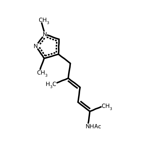 CC(=O)N/C(C)=C/C=C(\C)Cc1cn(C)nc1C